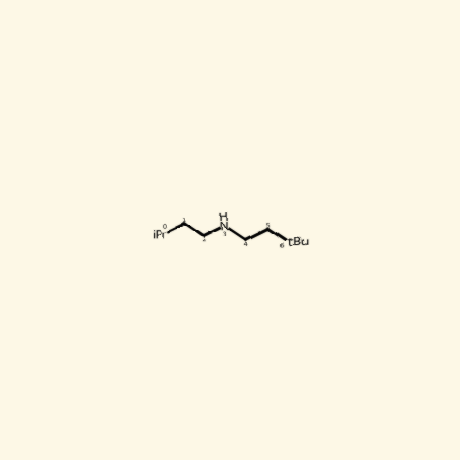 CC(C)CCNCCC(C)(C)C